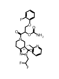 NC(=O)OC(COc1ccccc1F)C(=O)N1CCC2=NN(CC(F)F)C(=O)[C@]2(Cc2ccccn2)C1